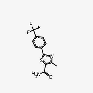 Cc1nc(-c2ccc(C(F)(F)F)cc2)sc1C(N)=O